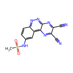 CS(=O)(=O)Nc1ccc2nnc3nc(C#N)c(C#N)nc3c2c1